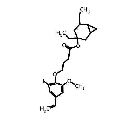 C=Cc1cc(I)c(OCCCC(=O)OC2(CC)CC(CC)C3CC3C2)c(OC)c1